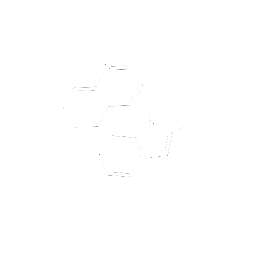 Cc1ccc2[nH]c(C)cc2c1.c1ccc2ncccc2c1